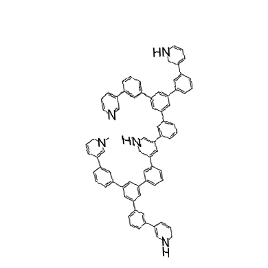 CN1C=C(c2cccc(-c3cc(-c4cccc(C5=CNCC=C5)c4)cc(-c4cccc(C5=CC(c6cccc(-c7cc(-c8cccc(C9=CC=CNC9)c8)cc(-c8cccc(-c9cccnc9)c8)c7)c6)=CNC5)c4)c3)c2)C=CC1